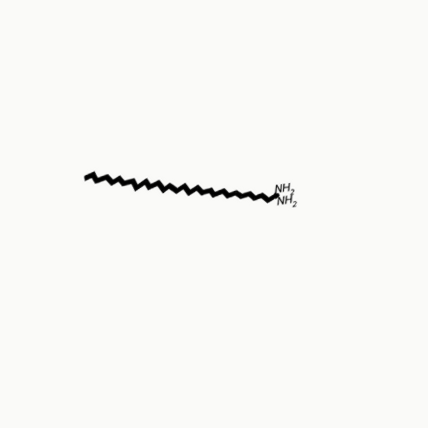 CCCCCCCCCCCCCCCCCCCCCCCCCCCCCC(N)N